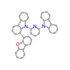 c1cc(-n2c3ccccc3c3ccccc32)nc(-n2c3ccccc3c3cccc(-c4cccc5c4oc4ccccc45)c32)c1